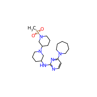 CS(=O)(=O)N1CCCC(N2CCCC(Nc3nccc(N4CCCCCC4)n3)C2)C1